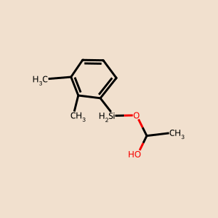 Cc1cccc([SiH2]OC(C)O)c1C